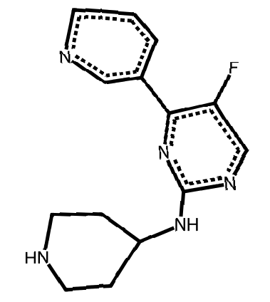 Fc1cnc(NC2CCNCC2)nc1-c1cccnc1